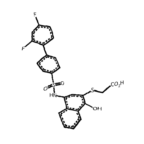 O=C(O)CSc1cc(NS(=O)(=O)c2ccc(-c3ccc(F)cc3F)cc2)c2ccccc2c1O